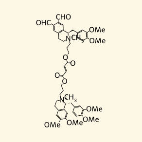 COc1ccc(C[C@@H]2c3cc(C=O)c(C=O)cc3CC[N+]2(C)CCCOC(=O)/C=C/C(=O)OCCC[N@+]2(C)CCc3cc(OC)c(OC)cc3[C@H]2Cc2ccc(OC)c(OC)c2)cc1OC